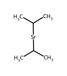 C[CH](C)[Sr][CH](C)C